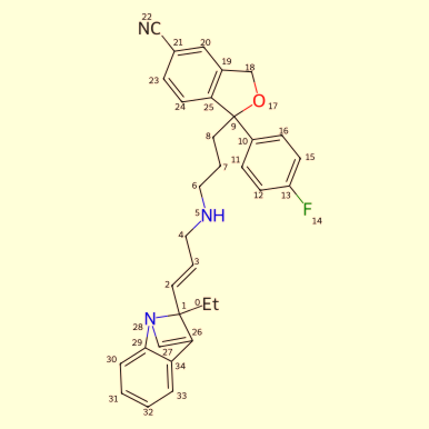 CCC1(C=CCNCCCC2(c3ccc(F)cc3)OCc3cc(C#N)ccc32)C2=CN1c1ccccc12